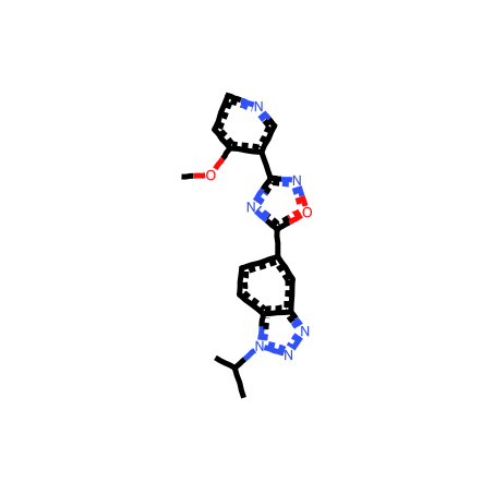 COc1ccncc1-c1noc(-c2ccc3c(c2)nnn3C(C)C)n1